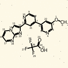 COc1cncc(-c2ccnc(-c3cn4cccnc4n3)c2)c1.O=C(O)C(F)(F)F